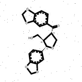 O=C(c1ccc2c(c1)OCO2)[C@@H]1CO[C@H](c2ccc3c(c2)OCO3)[C@H]1CO